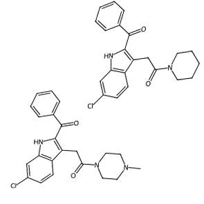 CN1CCN(C(=O)Cc2c(C(=O)c3ccccc3)[nH]c3cc(Cl)ccc23)CC1.O=C(c1ccccc1)c1[nH]c2cc(Cl)ccc2c1CC(=O)N1CCCCC1